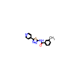 Cc1cccc(C(=O)Nc2nnc(-c3ccncc3)s2)c1